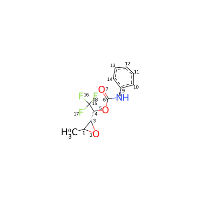 CC1O[C@H]1C(OC(=O)Nc1ccccc1)C(F)(F)F